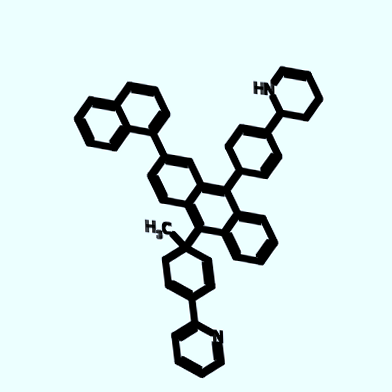 CC1(c2c3ccccc3c(C3C=CC(C4CCC=CN4)=CC3)c3cc(-c4cccc5ccccc45)ccc23)C=CC(c2ccccn2)=CC1